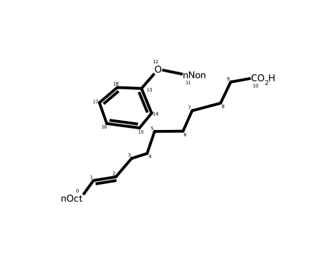 CCCCCCCCC=CCCCCCCCC(=O)O.CCCCCCCCCOc1ccccc1